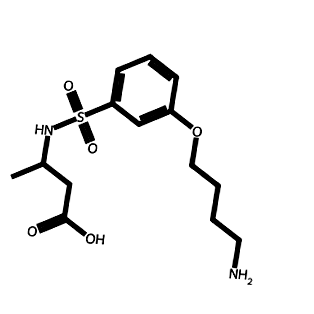 CC(CC(=O)O)NS(=O)(=O)c1cccc(OCCCCN)c1